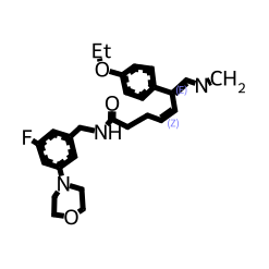 C=N/C=C(\C=C/CCC(=O)NCc1cc(F)cc(N2CCOCC2)c1)c1ccc(OCC)cc1